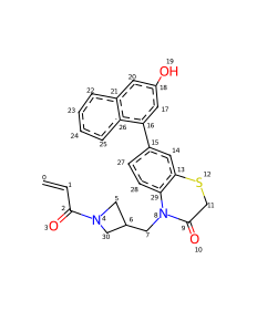 C=CC(=O)N1CC(CN2C(=O)CSc3cc(-c4cc(O)cc5ccccc45)ccc32)C1